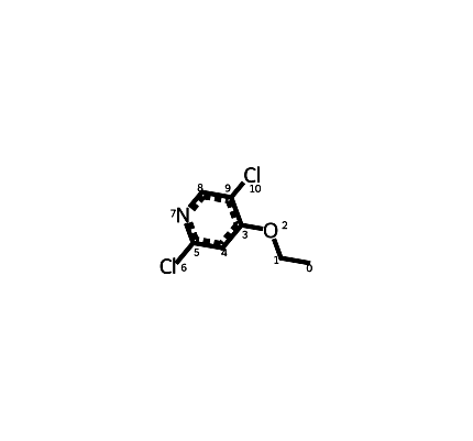 CCOc1cc(Cl)ncc1Cl